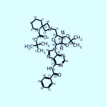 CC(C)(C)OC(=O)N1CCCCC12CN(CC1OC(n3cnc4c(NC(=O)c5ccccc5)ncnc43)[C@@H]3OC(C)(C)O[C@H]13)C2